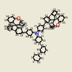 c1ccc(-c2cccc(-c3ccc(N(c4ccc(-c5ccc6c(c5)C5(c7ccccc7Oc7ccccc75)c5ccccc5-6)cc4)c4ccc(-c5ccc6c(c5)C5(c7ccccc7Oc7ccccc75)c5ccccc5-6)cc4)cc3)c2)cc1